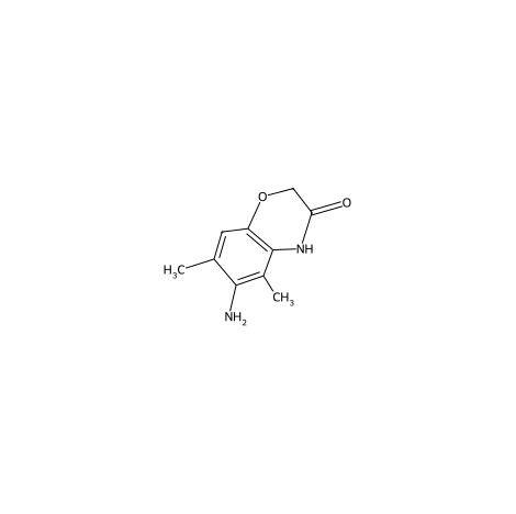 Cc1cc2c(c(C)c1N)NC(=O)CO2